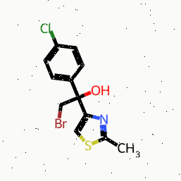 Cc1nc(C(O)(CBr)c2ccc(Cl)cc2)cs1